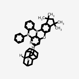 CC1(C)CC(C)(C)c2cc3c(cc21)Oc1cc([C@]24CC5C6CC7C[C@@H]5C(C2)[C@@H](C7)C6C4)nc2c1B3c1ccccc1N2c1ccccc1